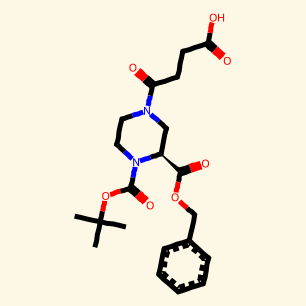 CC(C)(C)OC(=O)N1CCN(C(=O)CCC(=O)O)C[C@H]1C(=O)OCc1ccccc1